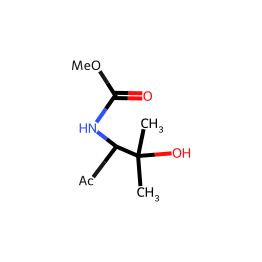 COC(=O)NC(C(C)=O)C(C)(C)O